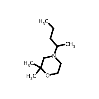 CCCC(C)N1CCOC(C)(C)C1